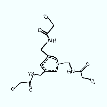 O=C(CCl)NCc1cc(CNC(=O)CCl)cc(CNC(=O)CCl)c1